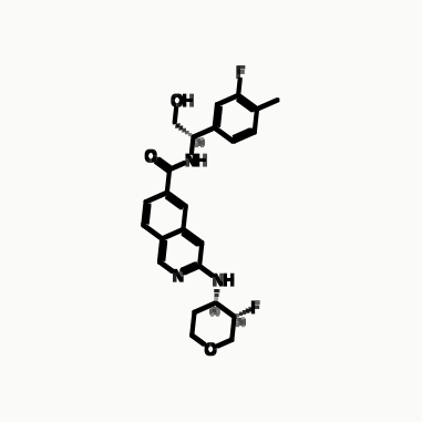 Cc1ccc([C@@H](CO)NC(=O)c2ccc3cnc(N[C@H]4CCOC[C@H]4F)cc3c2)cc1F